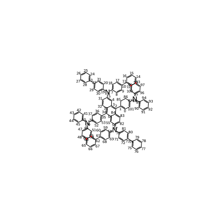 C1=C(c2c3cc(N(c4ccc(-c5ccccc5)cc4)c4ccc(-c5ccccc5)cc4)ccc3c(-c3ccc(N(c4ccccc4)c4ccccc4)cc3)c3cc(N(c4ccc(-c5ccccc5)cc4)c4ccc(-c5ccccc5)cc4)ccc23)CCC(N(c2ccccc2)c2ccccc2)=C1